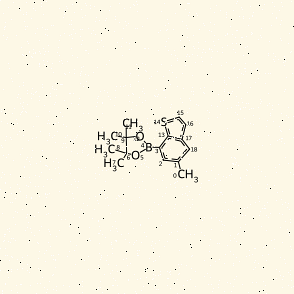 Cc1cc(B2OC(C)(C)C(C)(C)O2)c2sccc2c1